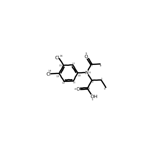 CCC(C(=O)O)N(C(C)=O)c1ccc(Cl)c(Cl)c1